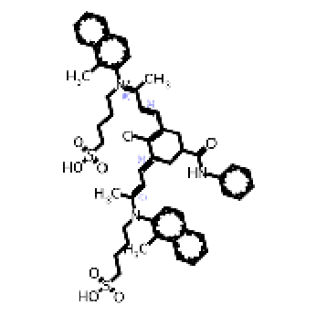 C/C(=C\C=C1/CC(C(=O)Nc2ccccc2)CC(/C=C/C(C)=[N+](\CCCCS(=O)(=O)O)c2ccc3ccccc3c2C)=C1Cl)N(CCCCS(=O)(=O)O)c1ccc2ccccc2c1C